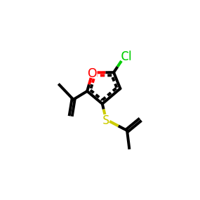 C=C(C)Sc1cc(Cl)oc1C(=C)C